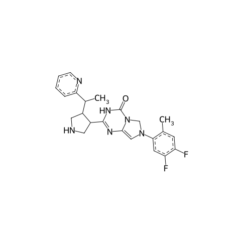 Cc1cc(F)c(F)cc1N1C=C2N=C(C3CNCC3C(C)c3ccccn3)NC(=O)N2C1